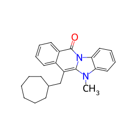 Cn1c2ccccc2n2c(=O)c3ccccc3c(CC3CCCCCC3)c12